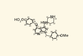 COc1ccc(Cn2nc(N[C@@H]3CCCNC3)c3c(Oc4ccc(C(=O)O)cc4)ccnc32)cc1